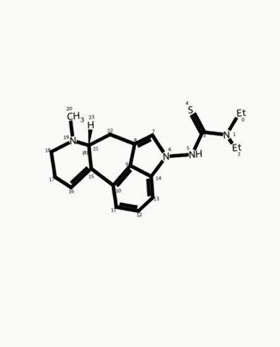 CCN(CC)C(=S)Nn1cc2c3c(cccc31)C1=CCCN(C)[C@@H]1C2